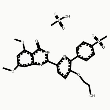 COc1cc(OC)c2c(=O)[nH]c(-c3ccc(OCCO)c(-c4ccc(S(C)(=O)=O)cc4)n3)nc2c1.CS(=O)(=O)O